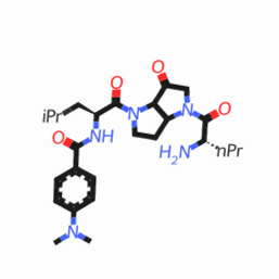 CCC[C@H](N)C(=O)N1CC(=O)C2C1CCN2C(=O)[C@H](CC(C)C)NC(=O)c1ccc(N(C)C)cc1